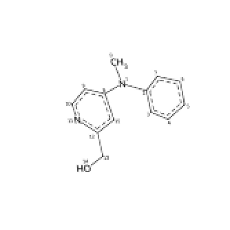 CN(c1ccccc1)c1ccnc(CO)c1